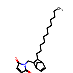 CCCCCCCCCCCCC1C2C=CC(C2)C1CN1C(=O)C=CC1=O